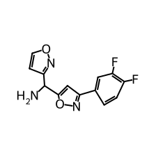 NC(c1ccon1)c1cc(-c2ccc(F)c(F)c2)no1